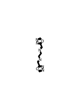 C(=NCCN=Cc1nnco1)c1nnco1